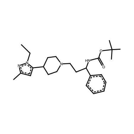 CCn1nc(C)cc1C1CCN(CCC(NC(=O)OC(C)(C)C)c2ccccc2)CC1